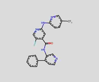 O=C(Nc1cnccc1-c1ccccc1)c1cc(Nc2ccc(C(F)(F)F)cn2)ncc1F